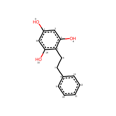 Oc1cc(O)c(CCc2ccccc2)c(O)c1